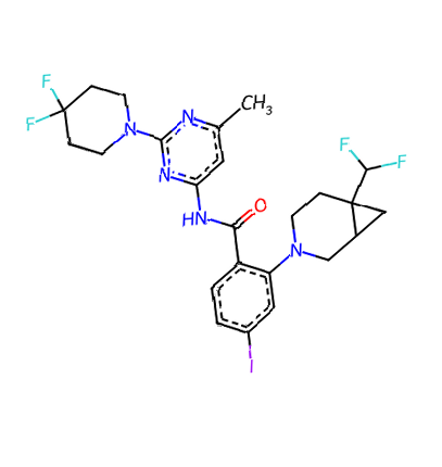 Cc1cc(NC(=O)c2ccc(I)cc2N2CCC3(C(F)F)CC3C2)nc(N2CCC(F)(F)CC2)n1